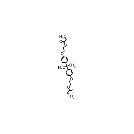 C=CC(=O)OCCOC1=CCC(C(C)(C)c2ccc(OCCOC(=O)C=C)cc2)C=C1